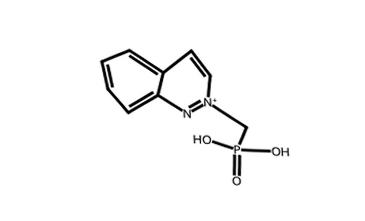 O=P(O)(O)C[n+]1ccc2ccccc2n1